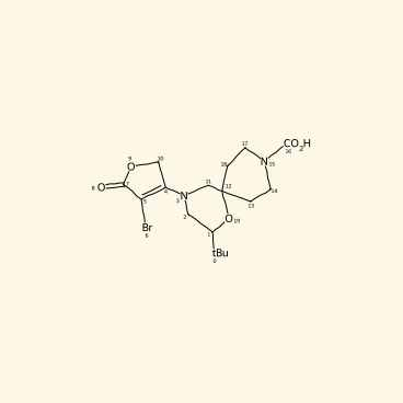 CC(C)(C)C1CN(C2=C(Br)C(=O)OC2)CC2(CCN(C(=O)O)CC2)O1